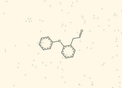 O=CCc1ccccc1Oc1ccccc1